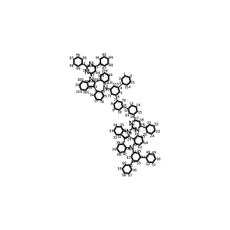 c1ccc(-c2cc(-c3cccc(-c4cccc(-c5cc(-c6ccccc6)nc(-n6c7c(c8ccccc86)-c6ccccc6N(c6cc(-c8ccccc8)cc(-c8ccccc8)c6)c6ccccc6-7)n5)c4)c3)cc(N3c4ccccc4-c4c(n(-c5cc(-c6ccccc6)nc(-c6ccccc6)n5)c5ccccc45)-c4ccccc43)c2)cc1